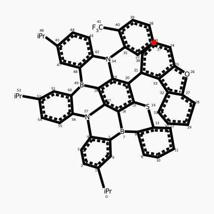 CC(C)c1ccc2c(c1)B1c3ccccc3Sc3c1c1c4c(c3-c3cccc5oc6ccccc6c35)N(c3ccccc3C(F)(F)F)c3ccc(C(C)C)cc3B4c3cc(C(C)C)ccc3N21